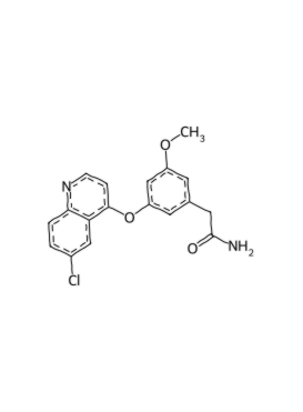 COc1cc(CC(N)=O)cc(Oc2ccnc3ccc(Cl)cc23)c1